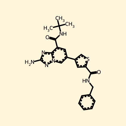 CC(C)(C)NC(=O)c1cc(-c2csc(C(=O)NCc3ccccc3)c2)cn2nc(N)nc12